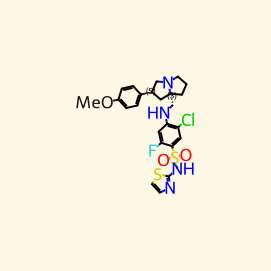 COc1ccc([C@H]2CN3CCC[C@@]3(CNc3cc(F)c(S(=O)(=O)Nc4nccs4)cc3Cl)C2)cc1